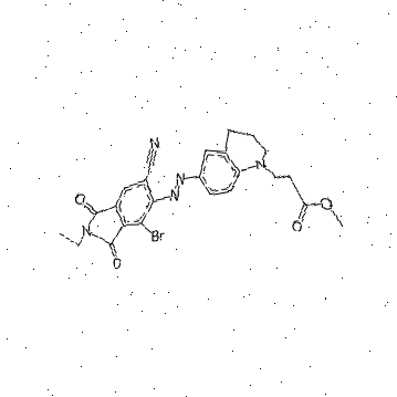 CCN1C(=O)c2cc(C#N)c(/N=N/c3ccc4c(c3)CCCN4CCC(=O)OC)c(Br)c2C1=O